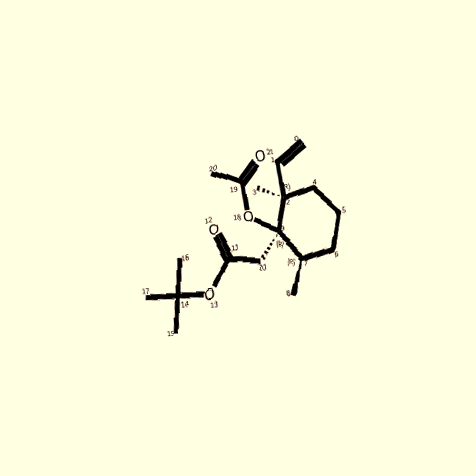 C=C[C@@]1(C)CCC[C@@H](C)[C@@]1(CC(=O)OC(C)(C)C)OC(C)=O